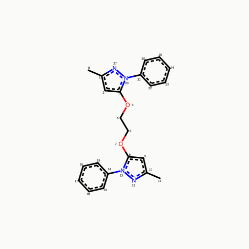 Cc1cc(OCCOc2cc(C)nn2-c2ccccc2)n(-c2ccccc2)n1